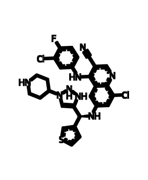 N#Cc1cnc2c(Cl)cc(N[C@H](C3=CN(C4CCNCC4)NN3)c3ccsc3)cc2c1Nc1ccc(F)c(Cl)c1